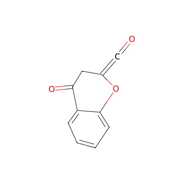 O=C=C1CC(=O)c2ccccc2O1